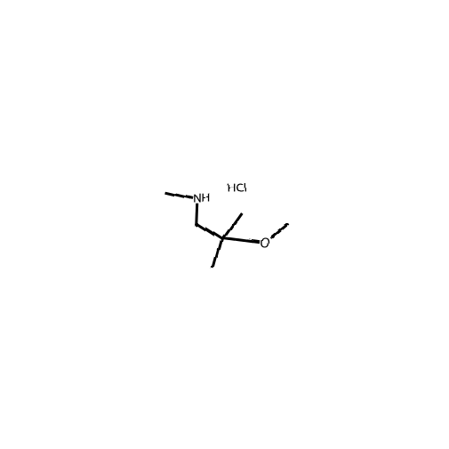 CNCC(C)(C)OC.Cl